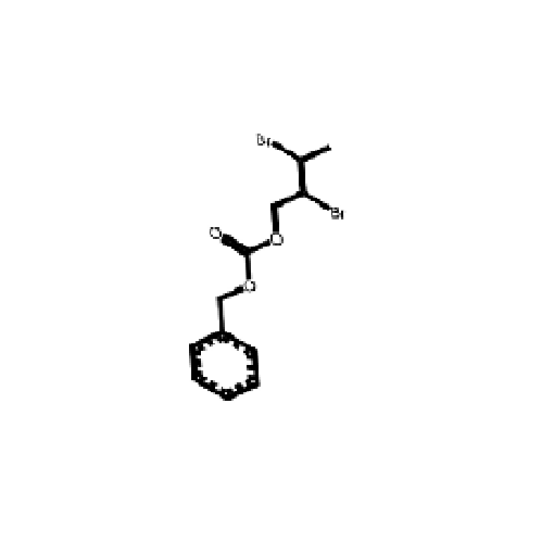 CC(Br)C(Br)COC(=O)OCc1ccccc1